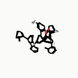 Cc1ccccc1-c1ccc2c(c1)c1ccccc1n2-c1ccc(-c2ccc(C#N)cc2C(F)(F)F)c(-c2cc(C#N)ccc2-n2c3ccccc3c3cc(-c4ccccc4C)ccc32)c1